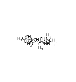 CC(C)(C)C12CCC(C(C)(C)CCC(C)(C)C34CNC(C(C)(C)C)(C3)C4)(CC1)OC2